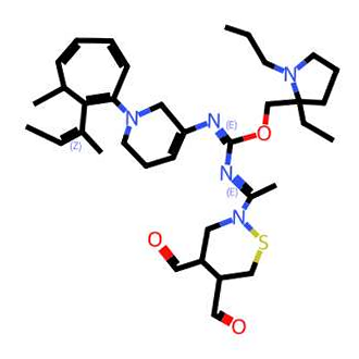 C/C=C(/C)C1=C(N2CCC=C(/N=C(\N=C(/C)N3CC(C=O)C(C=O)CS3)OCC3(CC)CCCN3CCC)C2)C=CC=CC1C